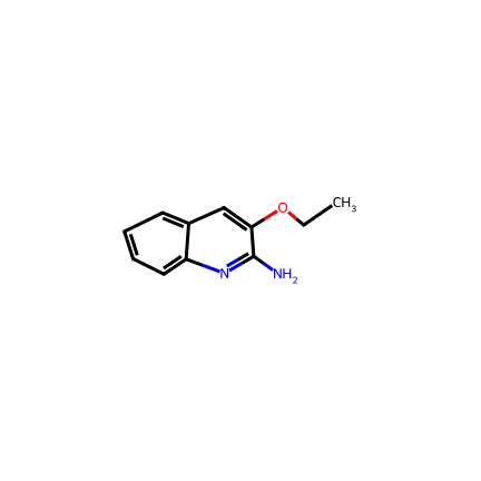 CCOc1cc2ccccc2nc1N